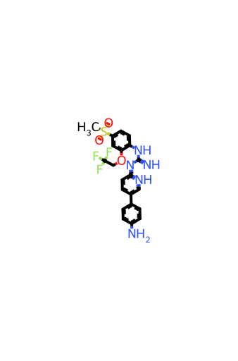 CS(=O)(=O)c1ccc(NC(=N)/N=c2/ccc(-c3ccc(N)cc3)c[nH]2)c(OCC(F)(F)F)c1